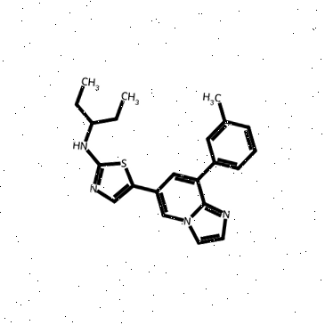 CCC(CC)Nc1ncc(-c2cc(-c3cccc(C)c3)c3nccn3c2)s1